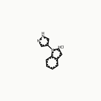 Cl.c1ccc2c(c1)ccn2-c1cn[nH]c1